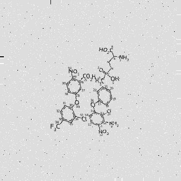 CP(=O)(O)CCC(N)C(=O)O.Nc1c([N+](=O)[O-])ccc(Oc2ccccc2)c1Cl.O=C(O)c1cc(Oc2ccc(C(F)(F)F)cc2Cl)ccc1[N+](=O)[O-]